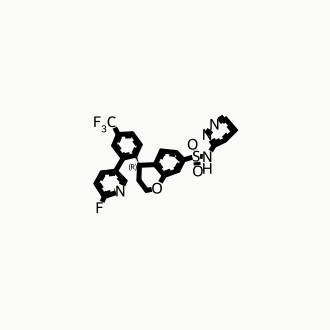 O=S(=O)(Nc1cccnn1)c1ccc2c(c1)OCC[C@@H]2c1ccc(C(F)(F)F)cc1-c1ccc(F)nc1